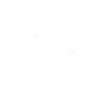 CNCN1CCNCC1F